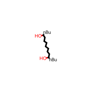 CCCCC(O)CCCCCCCC(O)CCCC